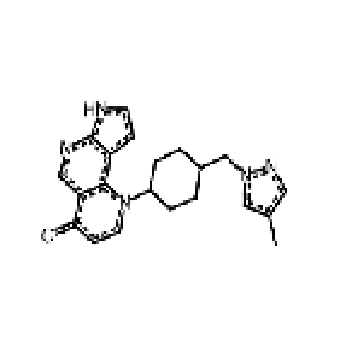 Cc1cnn(CC2CCC(n3ccc(=O)c4cnc5[nH]ccc5c43)CC2)c1